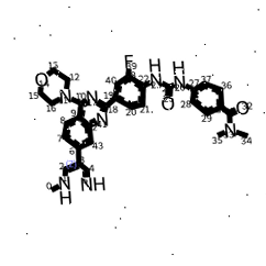 CN/C=C(\C=N)c1ccc2c(N3CCOCC3)nc(-c3ccc(NC(=O)Nc4ccc(C(=O)N(C)C)cc4)c(F)c3)nc2c1